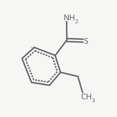 CCc1ccc[c]c1C(N)=S